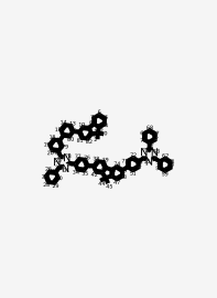 CC1(C)c2ccccc2-c2cc(-c3cccc(-c4cccc(-c5nc(-c6ccccc6)nc(-c6ccc(-c7ccc8c(c7)C(C)(C)c7ccc(-c9ccc(-c%10nc(-c%11ccccc%11)nc(-c%11ccccc%11)n%10)cc9)cc7-8)cc6)n5)c4)c3)ccc21